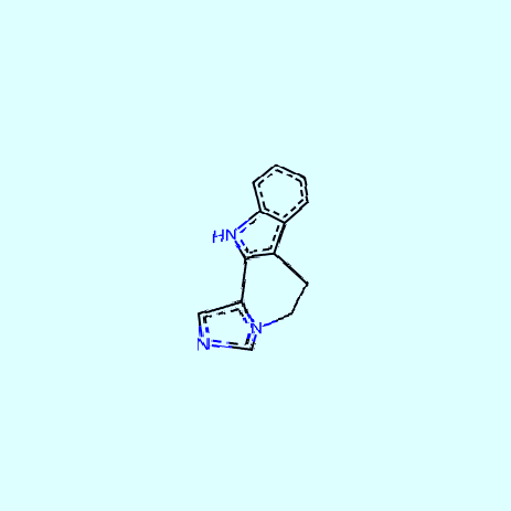 c1ccc2c3c([nH]c2c1)-c1cncn1CC3